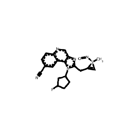 CS1(N=O)C=C1Cc1nc2cnc3ccc(C#N)cc3c2n1C1CCC(F)C1